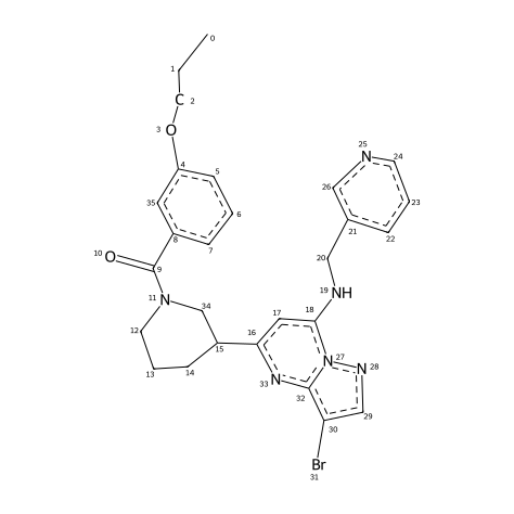 CCCOc1cccc(C(=O)N2CCCC(c3cc(NCc4cccnc4)n4ncc(Br)c4n3)C2)c1